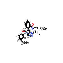 COCCN1C(=O)c2ccccc2C(C(=O)Nc2cccc(OC)c2)C1c1ccnn1C